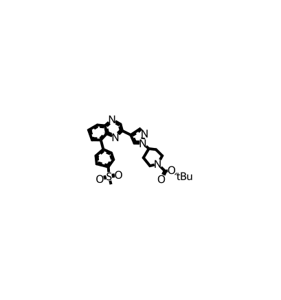 CC(C)(C)OC(=O)N1CCC(n2cc(-c3cnc4cccc(-c5ccc(S(C)(=O)=O)cc5)c4n3)cn2)CC1